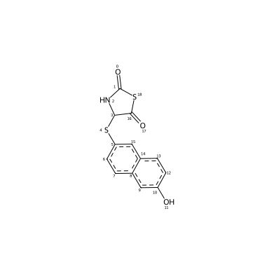 O=C1NC(Sc2ccc3cc(O)ccc3c2)C(=O)S1